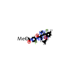 COCC(=O)N1CC[C@H](NC(=O)c2c(C)[nH]c3c(-c4c(OCC5CC5)ccc(C)c4F)ncnc23)[C@@H](F)C1